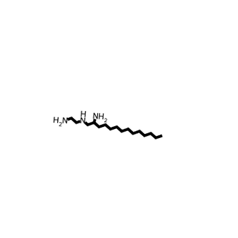 CCCCCCCCCCCCC(N)CNCCN